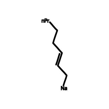 CCCCCC=C[CH2][Na]